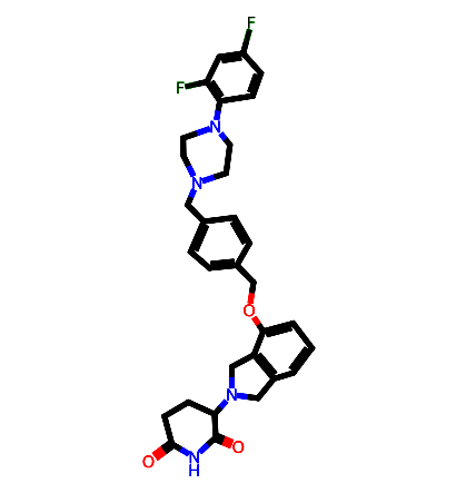 O=C1CCC(N2Cc3cccc(OCc4ccc(CN5CCN(c6ccc(F)cc6F)CC5)cc4)c3C2)C(=O)N1